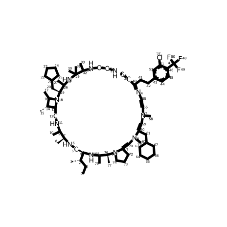 CC[C@H](C)[C@H]1CN[C@@H](C)C(C)NCC2[C@H](C)C(C)N2[C@@H](CC2CCCC2)C(C)NC(C)(C)C(C)NCCNCCC(CCc2ccc(C(F)(F)F)c(Cl)c2)=NC=CN(C)C=C(CC2CCCCC2)N(C)C=C2CCCN2[C@@H](C)C(C)N1